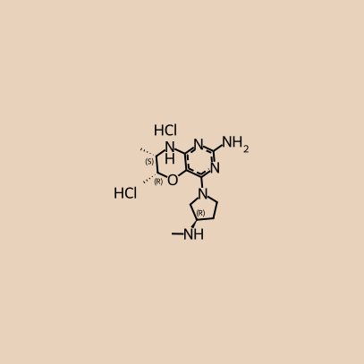 CN[C@@H]1CCN(c2nc(N)nc3c2O[C@H](C)[C@H](C)N3)C1.Cl.Cl